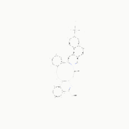 C=CC1=NC2CC(=C)[n+]3cc4ccc5cc(C(C)(C)C)ccc5c4cc3-c3ccccc3CCC2c2ccccc21